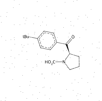 CC(C)(C)c1ccc(C(=O)[C@H]2CCCN2C(=O)O)cc1